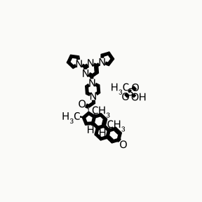 CS(=O)(=O)O.C[C@@H]1C[C@H]2[C@@H]3CCC4=CC(=O)C=C[C@]4(C)C3=CC[C@]2(C)[C@H]1C(=O)CN1CCN(c2cc(N3CCCC3)nc(N3CCCC3)n2)CC1